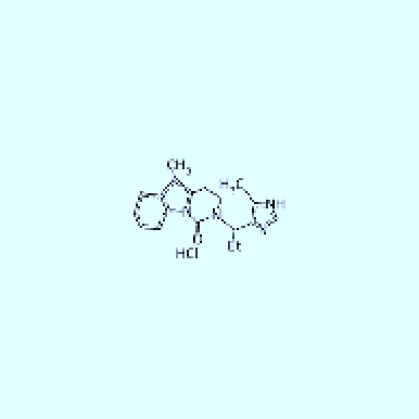 CCC(c1nc[nH]c1C)N1CCc2c(C)c3ccccc3n2C1=O.Cl